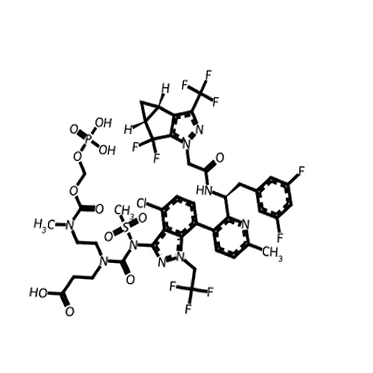 Cc1ccc(-c2ccc(Cl)c3c(N(C(=O)N(CCC(=O)O)CCN(C)C(=O)OCOP(=O)(O)O)S(C)(=O)=O)nn(CC(F)(F)F)c23)c([C@H](Cc2cc(F)cc(F)c2)NC(=O)Cn2nc(C(F)(F)F)c3c2C(F)(F)[C@@H]2C[C@H]32)n1